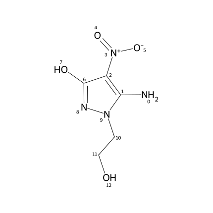 Nc1c([N+](=O)[O-])c(O)nn1CCO